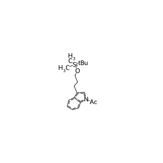 CC(=O)n1cc(CCCO[Si](C)(C)C(C)(C)C)c2ccccc21